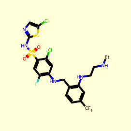 CCNCCNc1cc(C(F)(F)F)ccc1CNc1cc(Cl)c(S(=O)(=O)Nc2ncc(Cl)s2)cc1F